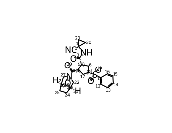 N#CC1(NC(=O)[C@@H]2C[C@@H](S(=O)(=O)c3ccccc3)C[C@H]2C(=O)N2C[C@H]3CC[C@@H](C2)O3)CC1